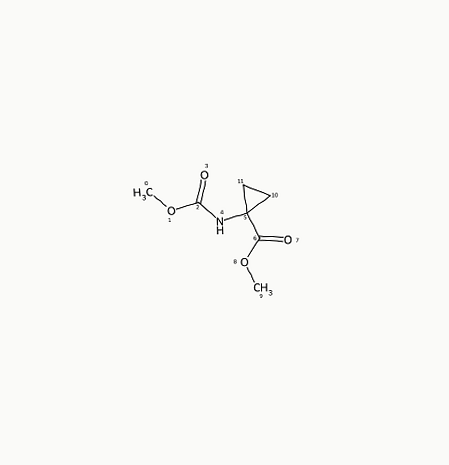 COC(=O)NC1(C(=O)OC)CC1